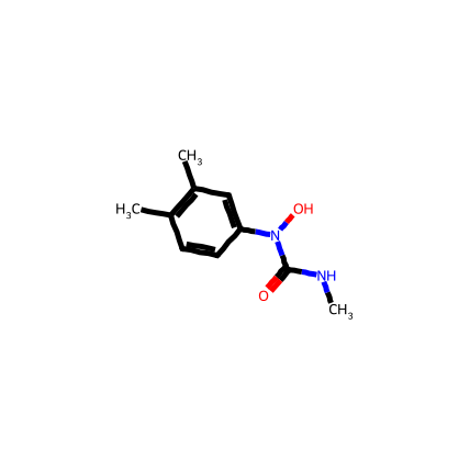 CNC(=O)N(O)c1ccc(C)c(C)c1